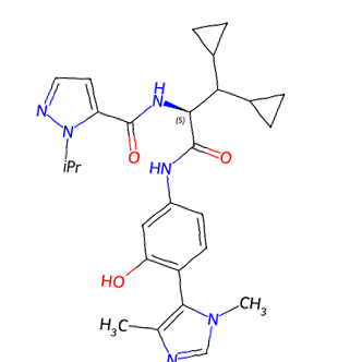 Cc1ncn(C)c1-c1ccc(NC(=O)[C@@H](NC(=O)c2ccnn2C(C)C)C(C2CC2)C2CC2)cc1O